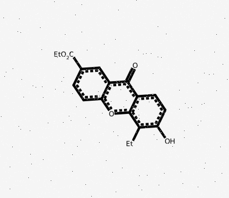 [CH2]Cc1c(O)ccc2c(=O)c3cc(C(=O)OCC)ccc3oc12